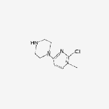 Cc1ccc(N2CCNCC2)nc1Cl